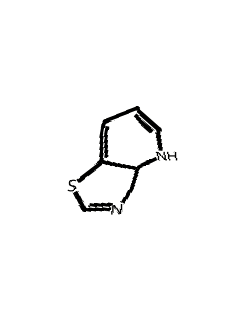 C1=CNC2N=CSC2=C1